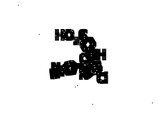 O=C(NC1CCC(C(=O)O)CC1)c1ccc(Cl)c2cnn(Cc3ccc(-n4cccn4)cc3)c12